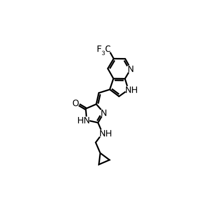 O=C1NC(NCC2CC2)=N/C1=C\c1c[nH]c2ncc(C(F)(F)F)cc12